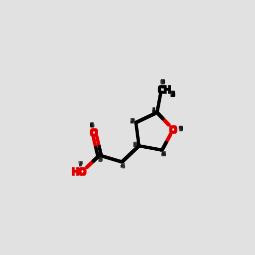 CC1CC(CC(=O)O)CO1